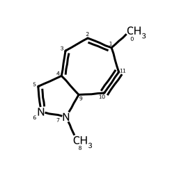 CC1=CC=C2C=NN(C)C2C#C1